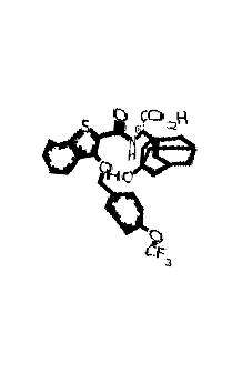 O=C(N[C@H](C(=O)O)C12CC3CC(CC(O)(C3)C1)C2)c1sc2ccccc2c1OCc1ccc(OC(F)(F)F)cc1